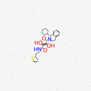 O=C(NCCC1CC=CS1)[C@H](O)[C@@H](O)C(=O)N1CCc2ccccc2C1C1CCCCC1